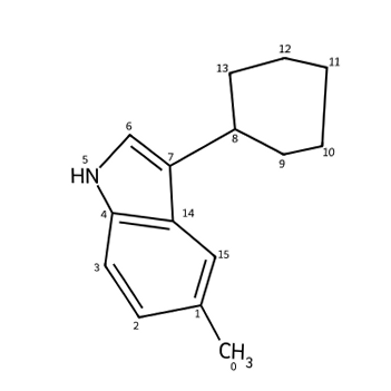 Cc1ccc2[nH]cc(C3CCCCC3)c2c1